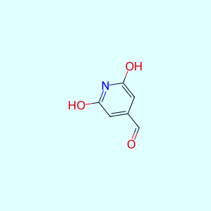 O=Cc1cc(O)nc(O)c1